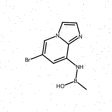 CB(O)Nc1cc(Br)cn2ccnc12